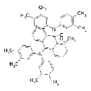 Cc1ccc(N(C2=CC(C)C(C)C=C2)C2=C3C=CCC(C)C3C(C)(N(c3ccc(C)c(C)c3)c3ccc(C)c(C)c3)c3ccccc32)cc1C